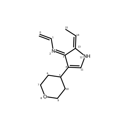 C=C/N=C1/C(C2CCOCC2)=CN/C1=C/C